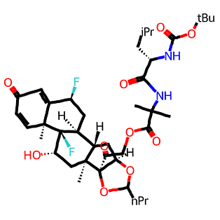 CCCC1O[C@@H]2C[C@H]3[C@@H]4C[C@H](F)C5=CC(=O)C=C[C@]5(C)[C@@]4(F)[C@@H](O)C[C@]3(C)[C@]2(C(=O)COC(=O)C(C)(C)NC(=O)[C@H](CC(C)C)NC(=O)OC(C)(C)C)O1